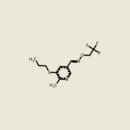 CCCSc1cc(/C=N/OCC(F)(F)F)cnc1C